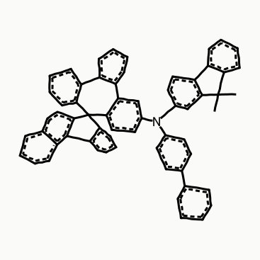 CC1(C)c2ccccc2-c2ccc(N(c3ccc(-c4ccccc4)cc3)c3ccc4c(c3)-c3ccccc3-c3ccccc3C43c4ccccc4-c4c3ccc3ccccc43)cc21